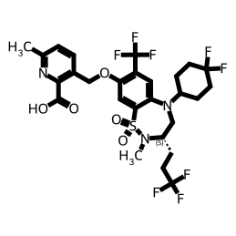 Cc1ccc(COc2cc3c(cc2C(F)(F)F)N(C2CCC(F)(F)CC2)C[C@H](CCC(F)(F)F)N(C)S3(=O)=O)c(C(=O)O)n1